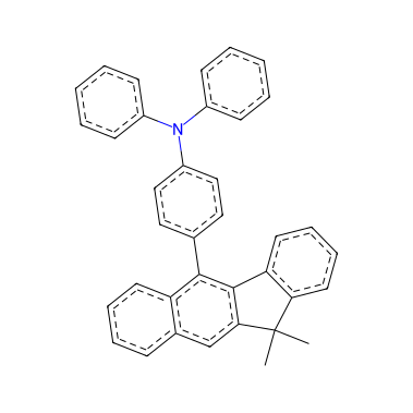 CC1(C)c2ccccc2-c2c1cc1ccccc1c2-c1ccc(N(c2ccccc2)c2ccccc2)cc1